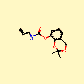 C=CCNC(=O)Oc1cccc2c1OC(C)(C)OC2